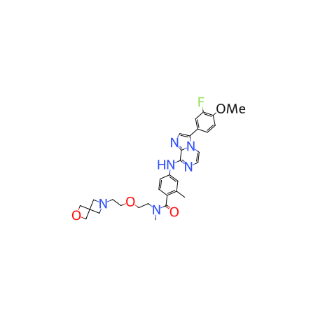 COc1ccc(-c2cnc3c(Nc4ccc(C(=O)N(C)CCOCCN5CC6(COC6)C5)c(C)c4)nccn23)cc1F